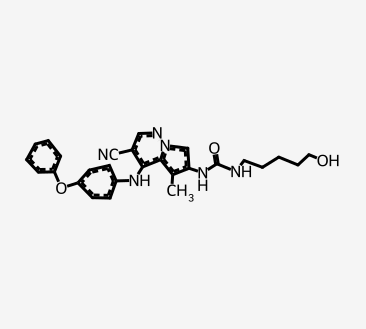 Cc1c(NC(=O)NCCCCCO)cn2ncc(C#N)c(Nc3ccc(Oc4ccccc4)cc3)c12